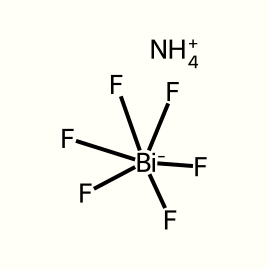 [F][Bi-]([F])([F])([F])([F])[F].[NH4+]